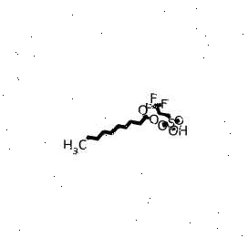 CCCCCCCCCC(=O)OC(CS(=O)(=O)O)C(F)(F)F